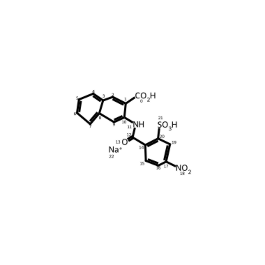 O=C(O)c1cc2ccccc2cc1NC(=O)c1ccc([N+](=O)[O-])cc1S(=O)(=O)O.[Na+]